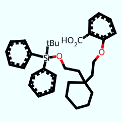 CC(C)(C)[Si](OCCC1(CCOc2ccccc2C(=O)O)CCCCC1)(c1ccccc1)c1ccccc1